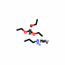 CCCN.CCO[SiH](OCC)OCC.[PbH2]